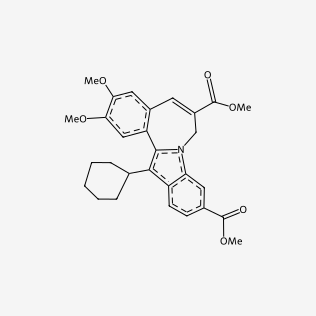 COC(=O)C1=Cc2cc(OC)c(OC)cc2-c2c(C3CCCCC3)c3ccc(C(=O)OC)cc3n2C1